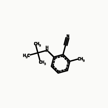 Cc1cccc(NC(C)(C)C)c1C#N